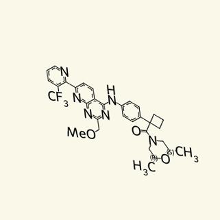 COCc1nc(Nc2ccc(C3(C(=O)N4C[C@@H](C)O[C@@H](C)C4)CCC3)cc2)c2ccc(-c3ncccc3C(F)(F)F)nc2n1